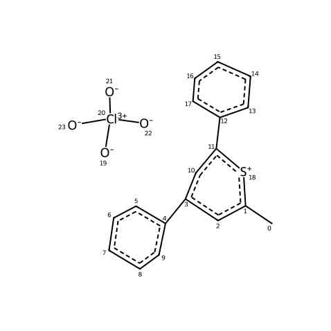 Cc1cc(-c2ccccc2)cc(-c2ccccc2)[s+]1.[O-][Cl+3]([O-])([O-])[O-]